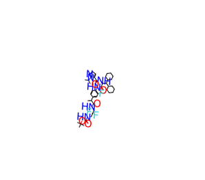 CC(C(=O)NCC(F)(F)CNC(=O)OC(C)(C)C)c1ccc(NC(=O)C(NC(=O)c2ccnn2C(C)C)C(C2CCCCC2)C2CCCCC2)c(F)c1